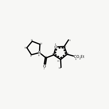 CCOC(=O)c1c(C)oc(C(=O)N2CCCC2)c1C